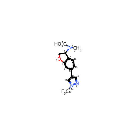 CN(C(=O)O)C1COc2cc(-c3cnn(C(F)(F)F)c3)ccc21